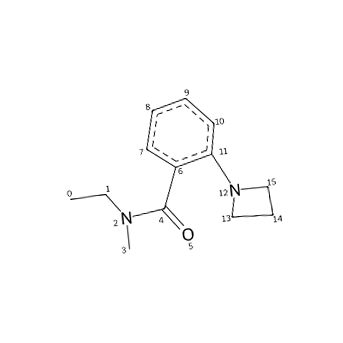 CCN(C)C(=O)c1ccccc1N1CCC1